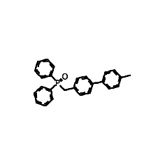 Cc1ccc(-c2ccc(CP(=O)(c3ccccc3)c3ccccc3)cc2)cc1